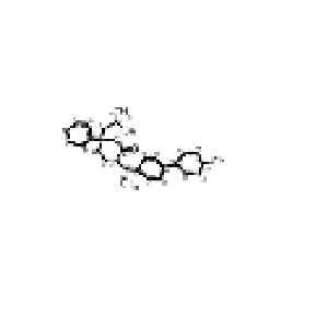 C[C@H](O)C[C@]1(c2ccccc2)CCN([C@@H](C)c2ccc(-c3ccc(F)cc3)cc2)C(=O)O1